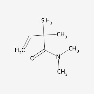 C=CC(C)([SiH3])C(=O)N(C)C